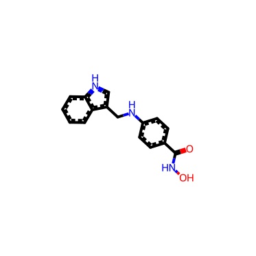 O=C(NO)c1ccc(NCc2c[nH]c3ccccc23)cc1